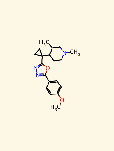 COc1ccc(-c2nnc(C3(C4CCN(C)CC4C)CC3)o2)cc1